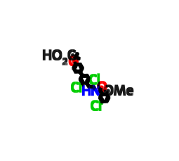 COc1ccc(Cl)cc1C(=O)NCCc1c(Cl)cc(-c2ccc(OC(C)(C)C(=O)O)cc2)cc1Cl